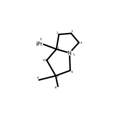 CC(C)C12CCCN1CC(C)(C)C2